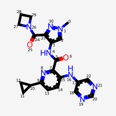 Cn1cc(NC(=O)c2nc(C3CC3)ccc2Nc2cncnc2)c(C(=O)N2CCC2)n1